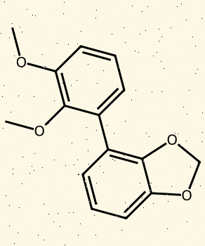 COc1cccc(-c2[c]ccc3c2OCO3)c1OC